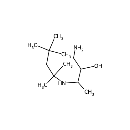 CC(NC(C)(C)CC(C)(C)C)C(O)CN